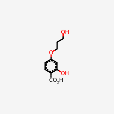 O=C(O)c1ccc(OCCCO)cc1O